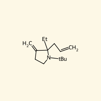 C=CCC1(CC)C(=C)CCN1C(C)(C)C